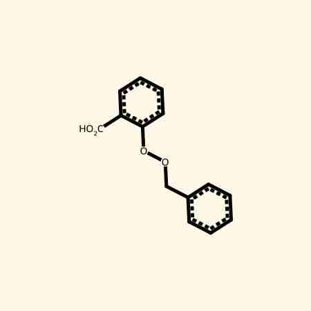 O=C(O)c1ccccc1OOCc1ccccc1